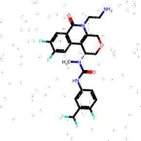 CN(C(=O)Nc1ccc(F)c(C(F)F)c1)[C@H]1COCc2c1c1cc(F)c(F)cc1c(=O)n2CCN